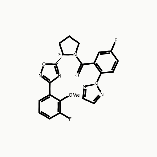 COc1c(F)cccc1-c1noc([C@@H]2CCCN2C(=O)c2cc(F)ccc2-n2nccn2)n1